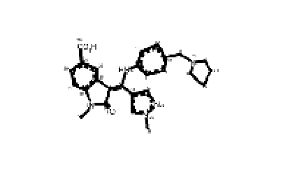 CN1C(=O)C(=C(Nc2ccc(CN3CCCC3)cc2)c2cnn(C)c2)c2cc(C(=O)O)ccc21